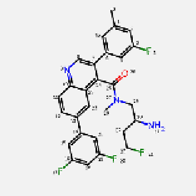 Cc1cc(F)cc(-c2cnc3ccc(-c4cc(F)cc(F)c4)cc3c2C(=O)N(C)C[C@@H](N)CCF)c1